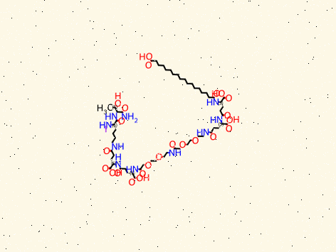 C[C@@H](O)C(NC(=O)[C@H](CCCCNC(=O)CC[C@H](NC(=O)CC[C@H](NC(=O)COCCOCCNC(=O)COCCOCCNC(=O)CC[C@H](NC(=O)CC[C@H](NC(=O)CCCCCCCCCCCCCCCCC(=O)O)C(=O)O)C(=O)O)C(=O)O)C(=O)O)NI)C(N)=O